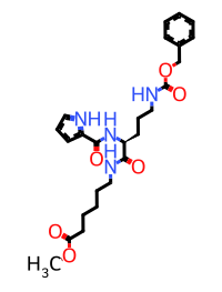 COC(=O)CCCCCNC(=O)[C@H](CCCNC(=O)OCc1ccccc1)NC(=O)c1ccc[nH]1